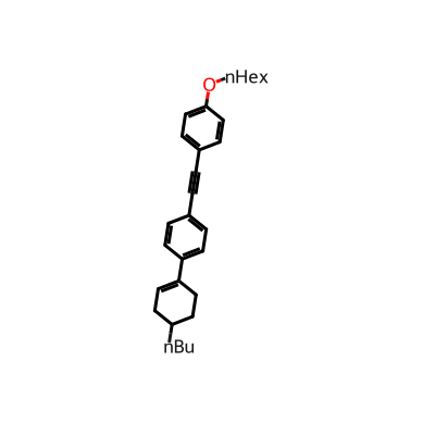 CCCCCCOc1ccc(C#Cc2ccc(C3=CCC(CCCC)CC3)cc2)cc1